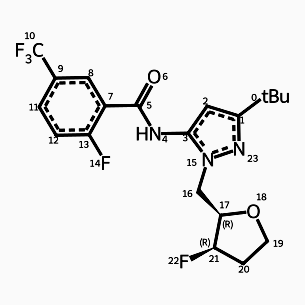 CC(C)(C)c1cc(NC(=O)c2cc(C(F)(F)F)ccc2F)n(C[C@H]2OCC[C@H]2F)n1